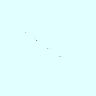 COCOCCC[SiH2]C